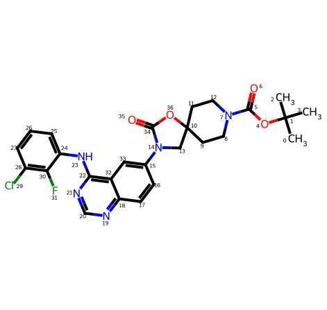 CC(C)(C)OC(=O)N1CCC2(CC1)CN(c1ccc3ncnc(Nc4cccc(Cl)c4F)c3c1)C(=O)O2